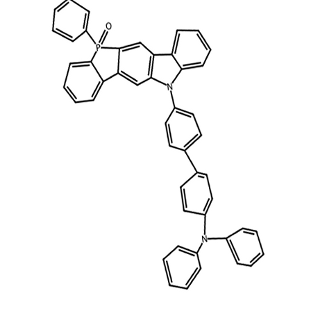 O=P1(c2ccccc2)c2ccccc2-c2cc3c(cc21)c1ccccc1n3-c1ccc(-c2ccc(N(c3ccccc3)c3ccccc3)cc2)cc1